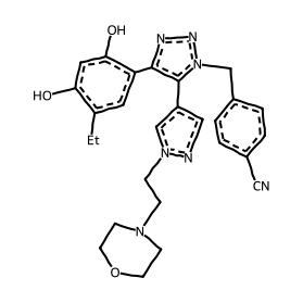 CCc1cc(-c2nnn(Cc3ccc(C#N)cc3)c2-c2cnn(CCN3CCOCC3)c2)c(O)cc1O